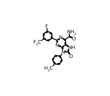 Cc1ccc(-n2c(=O)[nH]c3c(C(N)=O)nc(-c4cc(F)cc(C(F)(F)F)c4)nc32)cc1